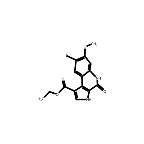 CCOC(=O)c1c[nH]c2c(=O)[nH]c3cc(OC)c(I)cc3c12